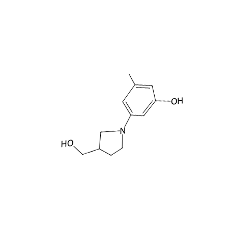 Cc1cc(O)cc(N2CCC(CO)C2)c1